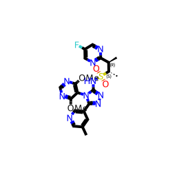 COc1ncnc(OC)c1-n1c(NS(=O)(=O)[C@@H](C)[C@H](C)c2ncc(F)cn2)nnc1-c1cncc(C)c1